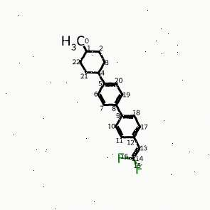 CC1CCC(c2ccc(-c3ccc(C=C(F)F)cc3)cc2)CC1